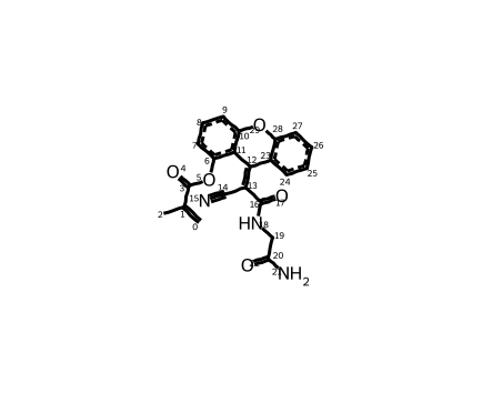 C=C(C)C(=O)Oc1cccc2c1C(=C(C#N)C(=O)NCC(N)=O)c1ccccc1O2